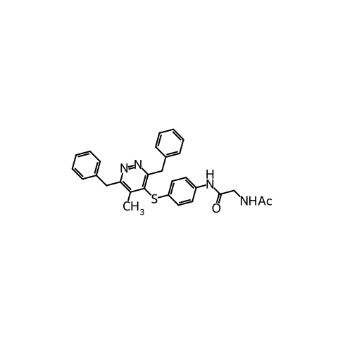 CC(=O)NCC(=O)Nc1ccc(Sc2c(Cc3ccccc3)nnc(Cc3ccccc3)c2C)cc1